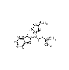 Cc1nnn(C(CCN(C)C)C2Cc3ccccc3O2)n1